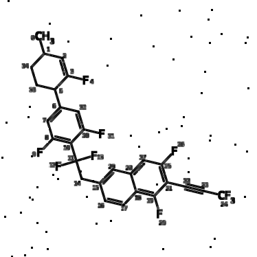 CC1C=C(F)C(c2cc(F)c(C(F)(F)Cc3ccc4c(F)c(C#CC(F)(F)F)c(F)cc4c3)c(F)c2)CC1